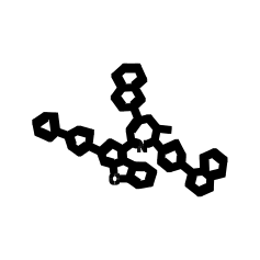 CC1CC(c2ccc3ccccc3c2)=CC(c2cc(-c3ccc(-c4ccccc4)cc3)cc3oc4ccccc4c23)=NC1c1ccc(-c2cccc3ccccc23)cc1